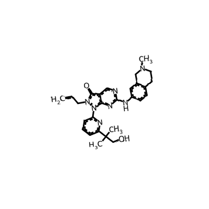 C=CCn1c(=O)c2cnc(Nc3ccc4c(c3)CN(C)CC4)nc2n1-c1cccc(C(C)(C)CO)n1